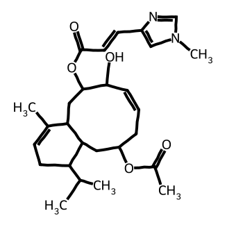 CC(=O)OC1CC=CC(O)C(OC(=O)C=Cc2cn(C)cn2)CC2C(C)=CCC(C(C)C)C2C1